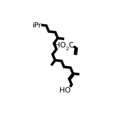 C=CC(=O)O.CC(=CCO)CCCC(C)CCCC(C)CCCC(C)C